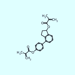 C=C(C)C(=O)Oc1ccc(-c2cccc3c2CCC3OC(=O)C(=C)C)cc1